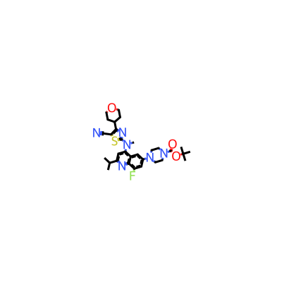 CC(C)c1cc(N(C)c2nc(C3CCOCC3)c(C#N)s2)c2cc(N3CCN(C(=O)OC(C)(C)C)CC3)cc(F)c2n1